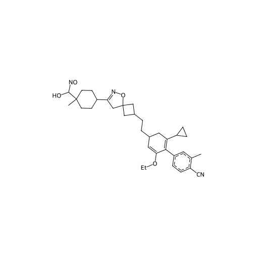 CCOC1=CC(CCC2CC3(CC(C4CCC(C)(C(O)N=O)CC4)=NO3)C2)CC(C2CC2)=C1c1ccc(C#N)c(C)c1